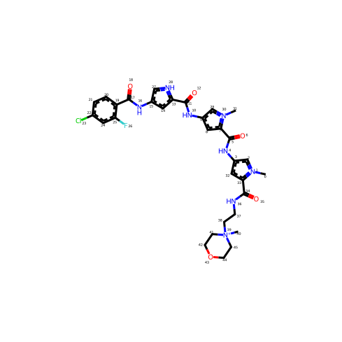 Cn1cc(NC(=O)c2cc(NC(=O)c3cc(NC(=O)c4ccc(Cl)cc4F)c[nH]3)cn2C)cc1C(=O)NCC[N+]1(C)CCOCC1